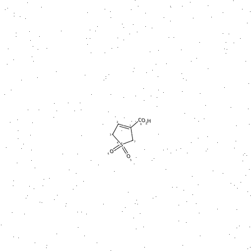 O=C(O)C1=CCS(=O)(=O)C1